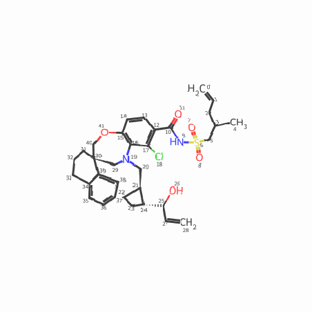 C=CCC(C)CS(=O)(=O)NC(=O)c1ccc2c(c1Cl)N(C[C@@H]1CC[C@H]1C(O)C=C)C[C@@]1(CCCc3ccccc31)CO2